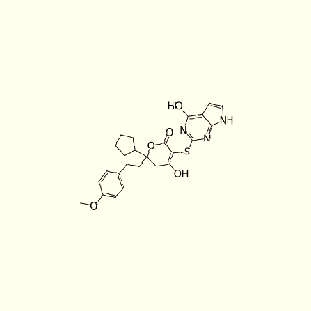 COc1ccc(CCC2(C3CCCC3)CC(O)=C(Sc3nc(O)c4cc[nH]c4n3)C(=O)O2)cc1